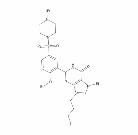 CCOc1ccc(S(=O)(=O)N2CCN(C(C)C)CC2)cc1-c1nc2c(CCCF)cn(CC)c2c(=O)[nH]1